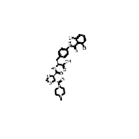 CN1CCN(C(=O)[C@@H]2OCO[C@H]2C(=O)N[C@@H](Cc2ccc(NC(=O)c3c(Cl)cccc3Cl)cc2)C(=O)O)CC1